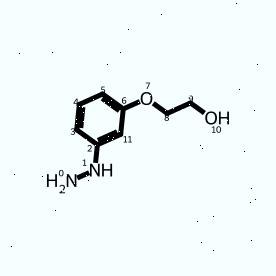 NNc1cccc(OCCO)c1